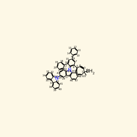 BC1(C)C#CC(c2cc(-c3ccccc3)cc(-c3ccccc3)c2-n2c3c(c4cc(-n5c6ccccc6c6ccccc65)ccc42)C=CCC3)=CC=C1